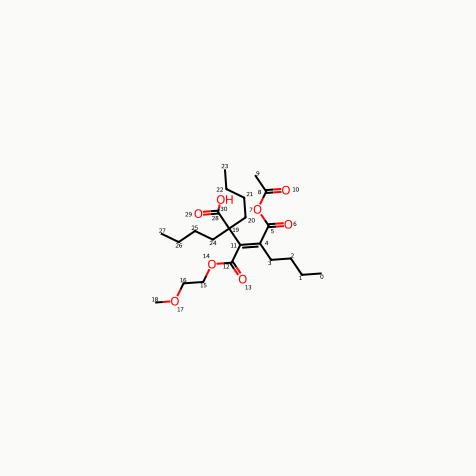 CCCCC(C(=O)OC(C)=O)=C(C(=O)OCCOC)C(CCCC)(CCCC)C(=O)O